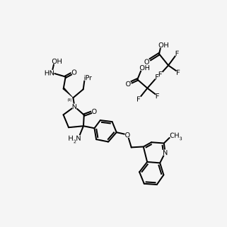 Cc1cc(COc2ccc(C3(N)CCN([C@@H](CC(=O)NO)CC(C)C)C3=O)cc2)c2ccccc2n1.O=C(O)C(F)(F)F.O=C(O)C(F)(F)F